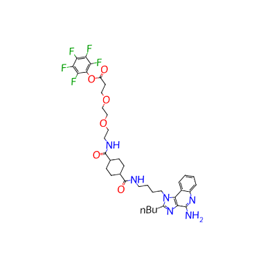 CCCCc1nc2c(N)nc3ccccc3c2n1CCCCNC(=O)C1CCC(C(=O)NCCOCCOCCC(=O)Oc2c(F)c(F)c(F)c(F)c2F)CC1